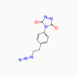 [N-]=[N+]=NCCc1ccc(N2C(=O)N=NC2=O)cc1